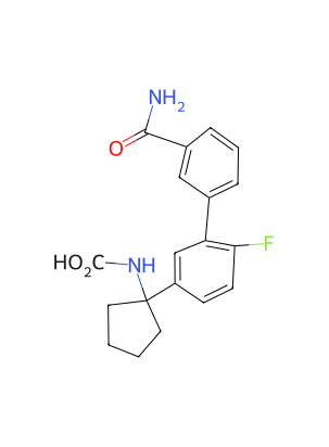 NC(=O)c1cccc(-c2cc(C3(NC(=O)O)CCCC3)ccc2F)c1